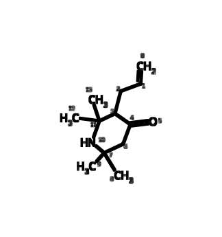 C=CCC1C(=O)CC(C)(C)NC1(C)C